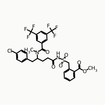 COC(=O)c1ccccc1CS(=O)(=O)NC(=O)CCC(Cc1ccc(Cl)cc1)N(C)C(=O)c1cc(C(F)(F)F)cc(C(F)(F)F)c1